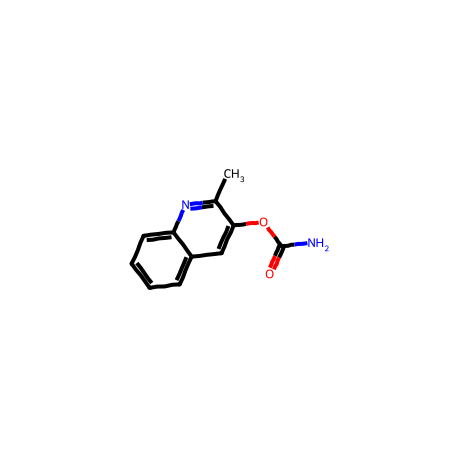 Cc1nc2ccccc2cc1OC(N)=O